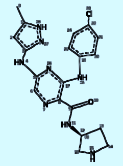 Cc1cc(Nc2cnc(C(=O)N[C@H]3CCNC3)c(Nc3ccc(Cl)cc3)n2)n[nH]1